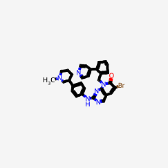 CN1CCCC(c2ccc(Nc3ncc4cc(Br)c(=O)n(Cc5ccccc5-c5ccncc5)c4n3)cc2)C1